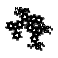 CC(C)(C)c1ccc2c(c1)c1cc(C(C)(C)C)cc3c4c5c6c7ccccc7cc7c8cc(C(C)(C)C)cc(-c9ccc%10c(c9)c9ccccc9n%10-c9ccccc9)c8n(c5ccc4n2c13)c76